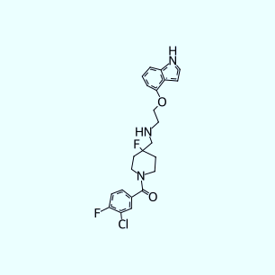 O=C(c1ccc(F)c(Cl)c1)N1CCC(F)(CNCCOc2cccc3[nH]ccc23)CC1